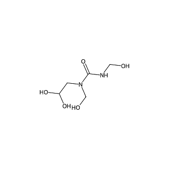 O=C(NCO)N(CO)CC(O)O